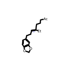 CC/C(=C\CCc1ccc2c(c1)OCO2)CCCC(C)=O